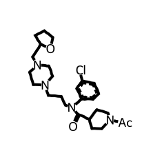 CC(=O)N1CCC(C(=O)N(CCCN2CCN(CC3CCCO3)CC2)c2cccc(Cl)c2)CC1